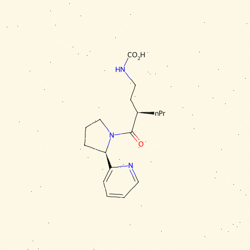 CCC[C@H](CCNC(=O)O)C(=O)N1CCC[C@@H]1c1ccccn1